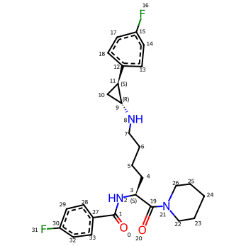 O=C(N[C@@H](CCCCN[C@@H]1C[C@H]1c1ccc(F)cc1)C(=O)N1CCCCC1)c1ccc(F)cc1